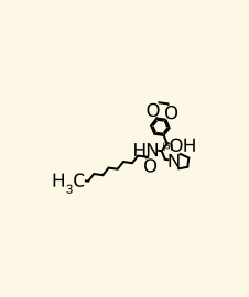 CCCCCCCCCC(=O)NC(CN1CCCC1)[C@@H](O)c1ccc2c(c1)OCCO2